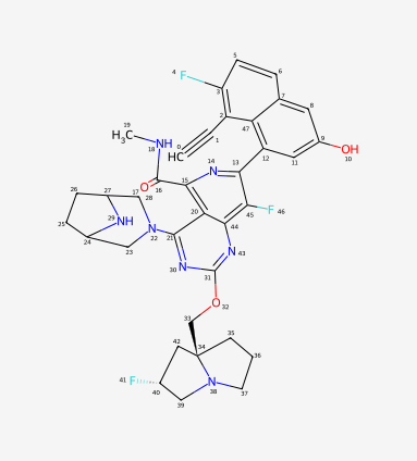 C#Cc1c(F)ccc2cc(O)cc(-c3nc(C(=O)NC)c4c(N5CC6CCC(C5)N6)nc(OC[C@@]56CCCN5C[C@H](F)C6)nc4c3F)c12